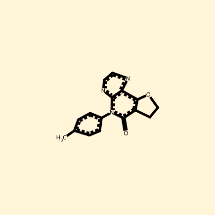 Cc1ccc(-n2c(=O)c3c(c4nccnc42)OCC3)cc1